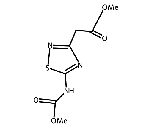 COC(=O)Cc1nsc(NC(=O)OC)n1